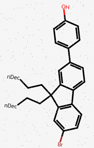 CCCCCCCCCCCCC1(CCCCCCCCCCCC)c2cc(Br)ccc2-c2ccc(-c3ccc(O)cc3)cc21